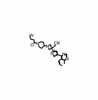 C/C=C\c1c(C)ncnc1-c1cnn(C2(CC#N)CN(C3CCN(C(=O)CCC(C)C)CC3)C2)c1